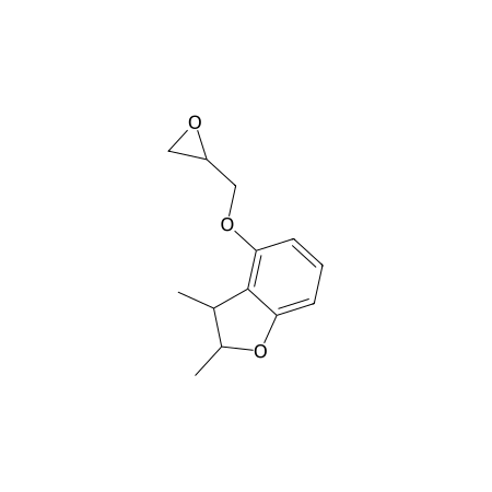 CC1Oc2cccc(OCC3CO3)c2C1C